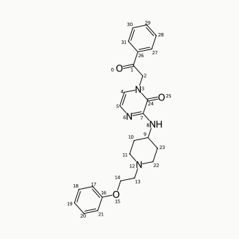 O=C(Cn1ccnc(NC2CCN(CCOc3ccccc3)CC2)c1=O)c1ccccc1